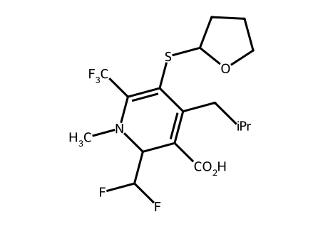 CC(C)CC1=C(C(=O)O)C(C(F)F)N(C)C(C(F)(F)F)=C1SC1CCCO1